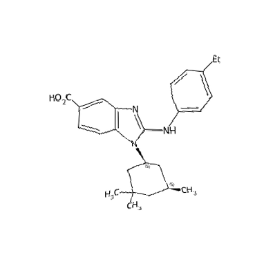 CCc1ccc(Nc2nc3cc(C(=O)O)ccc3n2[C@H]2C[C@@H](C)CC(C)(C)C2)cc1